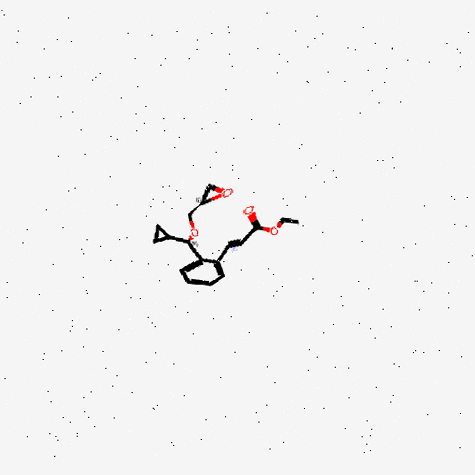 CCOC(=O)/C=C/c1ccccc1[C@H](OC[C@H]1CO1)C1CC1